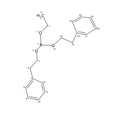 CCOB(OCCc1ccccc1)OCCc1ccccc1